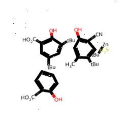 CC(C)(C)c1cc(C(=O)O)c(O)c(C(C)(C)C)c1.C[C](C)(C)[Zn].Cc1cc(O)c(C#N)cc1C(C)(C)C.O=C(O)c1ccccc1O.S